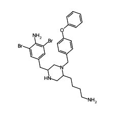 NCCCCC1CNC(Cc2cc(Br)c(N)c(Br)c2)CN1Cc1ccc(Oc2ccccc2)cc1